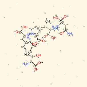 CC(C)C(N)C(=O)O.CC(O)C(N)C(=O)O.NC(=O)CC(N)C(=O)O.NC(Cc1ccccc1)C(=O)O.O=C(O)[C@@H]1CCCN1